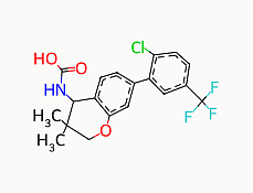 CC1(C)COc2cc(-c3cc(C(F)(F)F)ccc3Cl)ccc2C1NC(=O)O